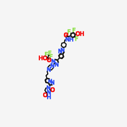 O=C(O)C(F)(F)F.O=C1CCN(c2cnn3cc(CCCN4CCN(c5ncc(-c6ccc7cn(C8CCC(CNC(=O)c9cc(F)c(O)c(F)c9F)CC8)nc7c6)cn5)CC4)ccc23)C(=O)N1